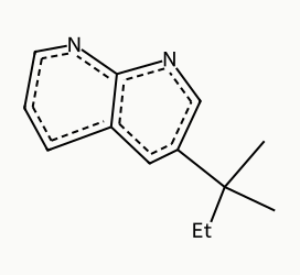 CCC(C)(C)c1cnc2ncccc2c1